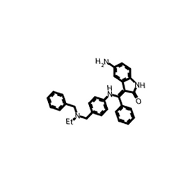 CCN(Cc1ccccc1)Cc1ccc(NC(=C2C(=O)Nc3ccc(N)cc32)c2ccccc2)cc1